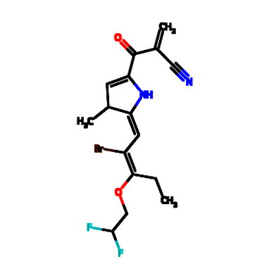 C=C(C#N)C(=O)C1=CC(C)/C(=C\C(Br)=C(/CC)OCC(F)F)N1